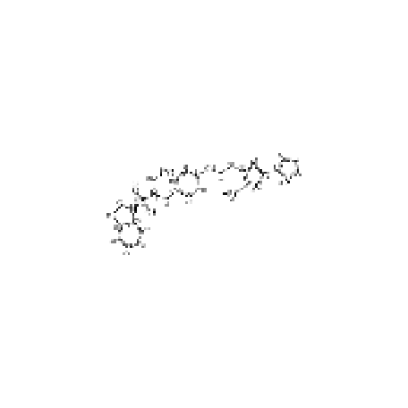 Cc1oc(-c2cccs2)nc1CCOc1ccc(CN(CC(=O)O)S(=O)(=O)N2CCc3ccccc32)cc1